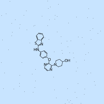 OC1CCN(c2nccnc2Oc2ccc(Nc3nc4ccccc4s3)cc2)CC1